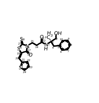 C[C@](CO)(Cc1ccccc1)NC(=O)CCN1C(=O)/C(=C\c2cccs2)SC1=S